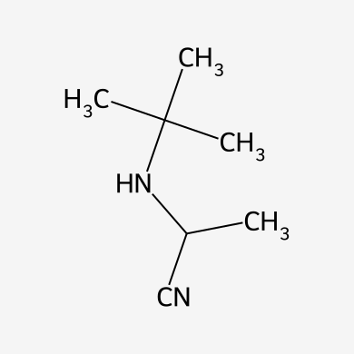 CC(C#N)NC(C)(C)C